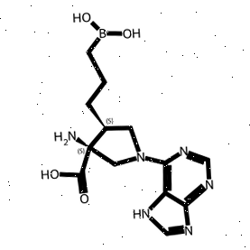 N[C@]1(C(=O)O)CN(c2ncnc3nc[nH]c23)C[C@@H]1CCCB(O)O